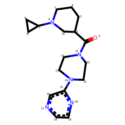 O=C(C1CCCN(C2CC2)C1)N1CCN(c2cnccn2)CC1